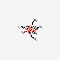 CCCCOC(C)(OCC)O[Si](OC(C)(OCC)OCCCC)(OC(C)(OCC)OCCCC)OC(C)(OCC)OCCCC